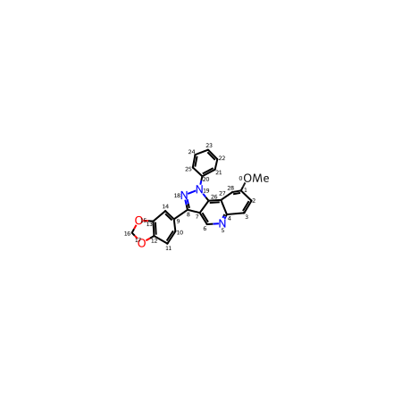 COc1ccc2ncc3c(-c4ccc5c(c4)OCO5)nn(-c4ccccc4)c3c2c1